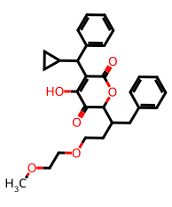 COCCOCCC(Cc1ccccc1)C1OC(=O)C(C(c2ccccc2)C2CC2)=C(O)C1=O